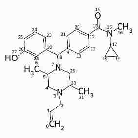 C=CCN1CC(C)N(C(c2ccc(C(=O)N(C)C3CC3)cc2)c2cccc(O)c2)CC1C